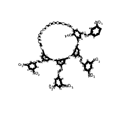 O=[N+]([O-])c1cccc(N=Nc2cc3c(O)c(c2)Cc2cc(N=Nc4cc([N+](=O)[O-])cc([N+](=O)[O-])c4)cc(c2O)Cc2cc(N=Nc4cc([N+](=O)[O-])cc([N+](=O)[O-])c4)cc(c2O)Cc2cc(N=Nc4cc([N+](=O)[O-])cc([N+](=O)[O-])c4)cc(c2O)CCCCCCCCCCCCC3)c1